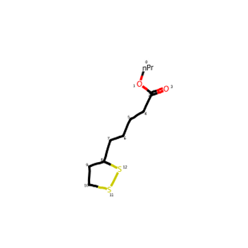 CCCOC(=O)CCCCC1CCSS1